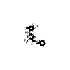 O=C(NCC1CCCCC1)c1cnc(Nc2ccc(C(F)(F)F)cc2Cl)nc1C(F)(F)F